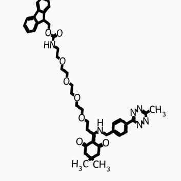 Cc1nnc(-c2ccc(CNC(CCOCCOCCOCCOCCNC(=O)OCC3c4ccccc4-c4ccccc43)=C3C(=O)CC(C)(C)CC3=O)cc2)nn1